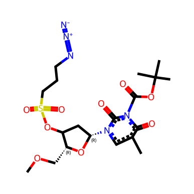 COC[C@H]1O[C@@H](n2cc(C)c(=O)n(C(=O)OC(C)(C)C)c2=O)CC1OS(=O)(=O)CCCN=[N+]=[N-]